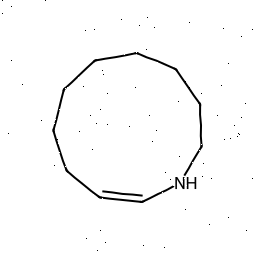 C1=CNCCCCCCCC1